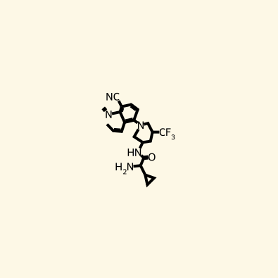 C=Nc1c(C#N)ccc(N2CC(NC(=O)C(N)C3CC3)CC(C(F)(F)F)C2)c1/C=C\C